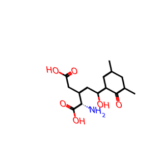 CC1CC(C)C(=O)C(C(O)CC(CC(=O)O)[C@H](N)C(=O)O)C1